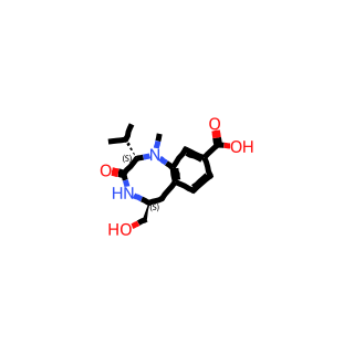 CC(C)[C@H]1C(=O)N[C@H](CO)Cc2ccc(C(=O)O)cc2N1C